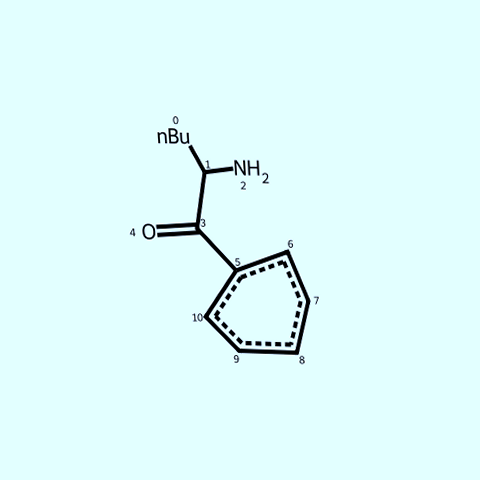 [CH2]CCCC(N)C(=O)c1ccccc1